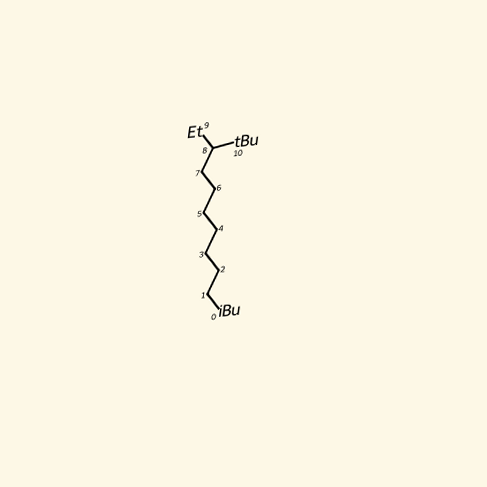 CCC(C)CCCCCCCC(CC)C(C)(C)C